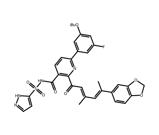 CC(=CC(=O)c1nc(-c2cc(F)cc(OCC(C)C)c2)ccc1C(=O)NS(=O)(=O)c1ccn[nH]1)C=C(C)c1ccc2c(c1)OCO2